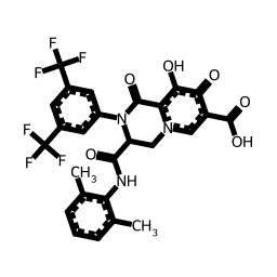 Cc1cccc(C)c1NC(=O)C1Cn2cc(C(=O)O)c(=O)c(O)c2C(=O)N1c1cc(C(F)(F)F)cc(C(F)(F)F)c1